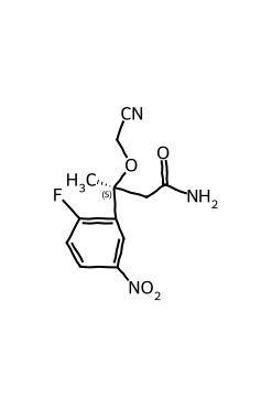 C[C@@](CC(N)=O)(OCC#N)c1cc([N+](=O)[O-])ccc1F